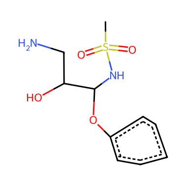 CS(=O)(=O)NC(Oc1ccccc1)C(O)CN